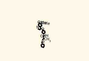 COc1cc2nccc(Oc3ccc(NC(=O)/C(C)=C/OCc4ccccc4)cc3)c2cc1OC